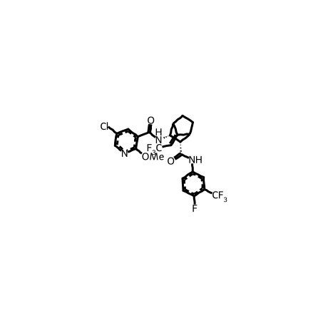 COc1ncc(Cl)cc1C(=O)N[C@@H]1C2CCC(/C2=C/C(F)(F)F)[C@@H]1C(=O)Nc1ccc(F)c(C(F)(F)F)c1